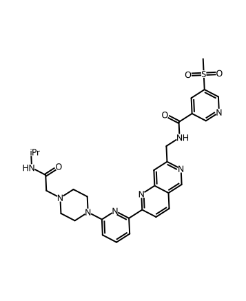 CC(C)NC(=O)CN1CCN(c2cccc(-c3ccc4cnc(CNC(=O)c5cncc(S(C)(=O)=O)c5)cc4n3)n2)CC1